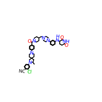 CC1CC2(CCN(c3ccc(C(=O)N4CCC(CN5CCN(c6cccc(NC7CCC(=O)NC7=O)c6)CC5)CC4)cc3)CC2)CN1c1ccc(C#N)c(Cl)c1